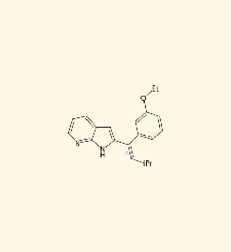 CCOc1cccc(/C(=C\C(C)C)c2cc3cccnc3[nH]2)c1